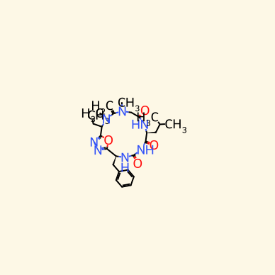 C=C1N(C)CC(=O)N[C@@H](CC(C)C)C(=O)NC(=O)N[C@@H](Cc2ccccc2)c2nnc(o2)C(CC)N1C